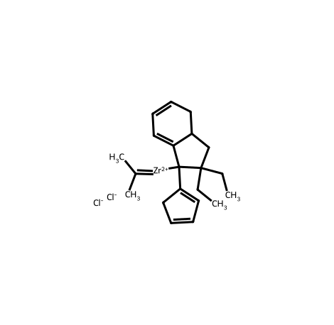 CCC1(CC)CC2CC=CC=C2[C]1([Zr+2]=[C](C)C)C1=CC=CC1.[Cl-].[Cl-]